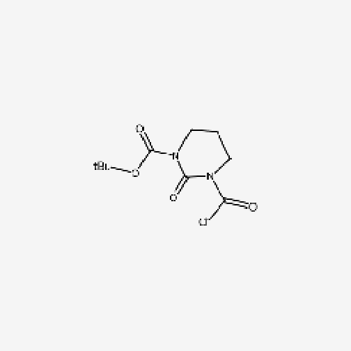 CC(C)(C)OC(=O)N1CCCN(C(=O)Cl)C1=O